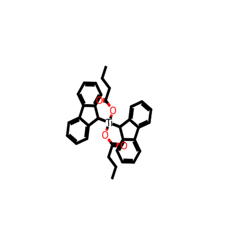 CCCC(=O)[O][Ti]([O]C(=O)CCC)([CH]1c2ccccc2-c2ccccc21)[CH]1c2ccccc2-c2ccccc21